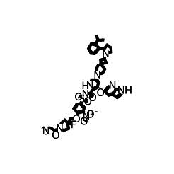 CC(C)c1ccccc1C1CCCN1C1CC2(CCN(c3cnc(C(=O)NS(=O)(=O)c4ccc(OCC5(F)CCN(C(=O)CN(C)C)CC5)c([N+](=O)[O-])c4)c(Oc4cnc5[nH]ccc5c4)c3)CC2)C1